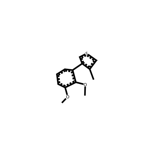 COc1cccc(-c2cs[c]c2C)c1OC